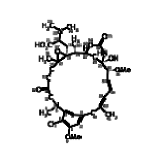 COc1cc2cc(c1Cl)N(C)CC(=O)CC[C@]1(C)O[C@@]1(C[C@@H](C(=O)O)N(C)C)[C@H](C)[C@@H]1C[C@@](O)(NC(=O)O1)[C@H](OC)/C=C/C=C(\C)C2